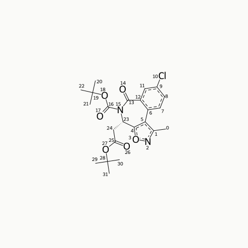 Cc1noc2c1-c1ccc(Cl)cc1C(=O)N(C(=O)OC(C)(C)C)[C@H]2CC(=O)OC(C)(C)C